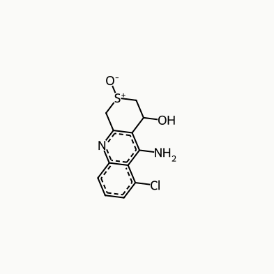 Nc1c2c(nc3cccc(Cl)c13)C[S+]([O-])CC2O